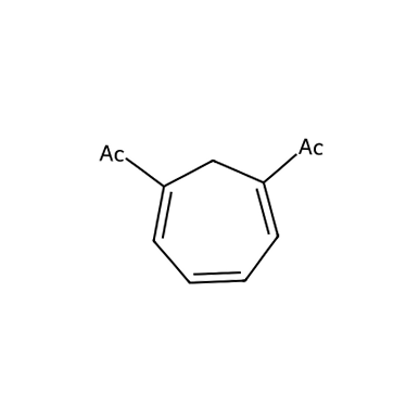 CC(=O)C1=CC=CC=C(C(C)=O)C1